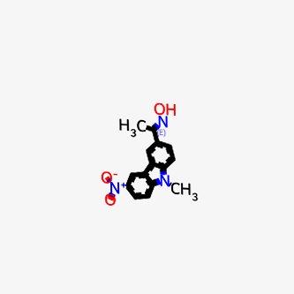 C/C(=N\O)c1ccc2c(c1)c1cc([N+](=O)[O-])ccc1n2C